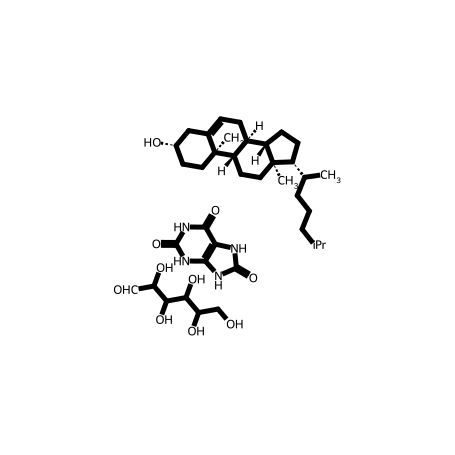 CC(C)CCCC(C)[C@H]1CC[C@H]2[C@@H]3CC=C4C[C@@H](O)CC[C@]4(C)[C@H]3CC[C@]12C.O=CC(O)C(O)C(O)C(O)CO.O=c1[nH]c(=O)c2[nH]c(=O)[nH]c2[nH]1